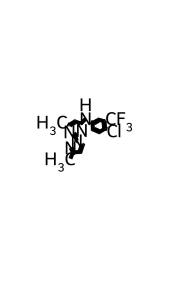 Cc1cc(Nc2ccc(Cl)c(C(F)(F)F)c2)nc(-n2ccc(C)n2)n1